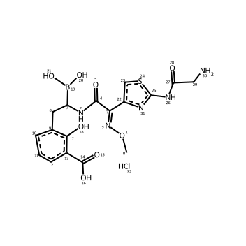 CO/N=C(/C(=O)NC(Cc1cccc(C(=O)O)c1O)B(O)O)c1csc(NC(=O)CN)n1.Cl